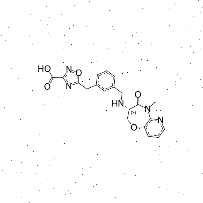 CN1C(=O)[C@@H](NCc2cccc(Cc3nc(C(=O)O)no3)c2)COc2cccnc21